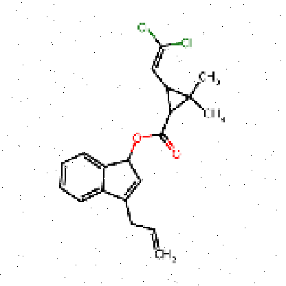 C=CCC1=CC(OC(=O)C2C(C=C(Cl)Cl)C2(C)C)c2ccccc21